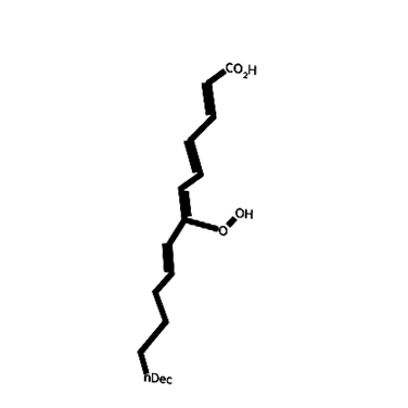 CCCCCCCCCCCCCC=CC(=CC=CC=CC(=O)O)OO